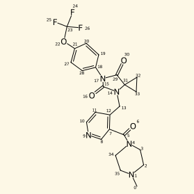 CN1CCN(C(=O)c2cnccc2CN2C(=O)N(c3ccc(OC(F)(F)F)cc3)C(=O)C23CC3)CC1